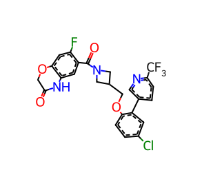 O=C1COc2cc(F)c(C(=O)N3CC(COc4ccc(Cl)cc4-c4ccc(C(F)(F)F)nc4)C3)cc2N1